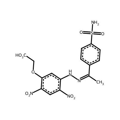 CC(=NNc1cc(OCC(=O)O)c([N+](=O)[O-])cc1[N+](=O)[O-])c1ccc(S(N)(=O)=O)cc1